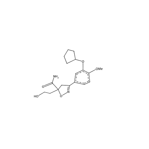 COc1ccc(C2=NOC(CCO)(C(N)=O)C2)cc1OC1CCCC1